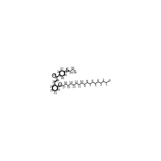 CCCCCCCCCCCCCCCCCCOc1ccccc1C=CC(=O)c1ccc(SCCC)cc1